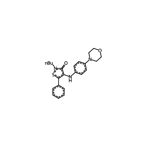 CCCCn1sc(-c2ccccc2)c(Nc2ccc(N3CCOCC3)cc2)c1=O